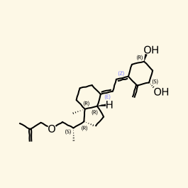 C=C(C)COC[C@@H](C)[C@H]1CC[C@H]2/C(=C/C=C3/C[C@@H](O)C[C@H](O)C3=C)CCC[C@]12C